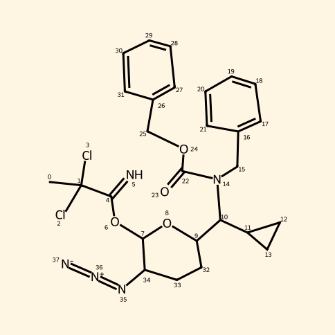 CC(Cl)(Cl)C(=N)OC1OC(C(C2CC2)N(Cc2ccccc2)C(=O)OCc2ccccc2)CCC1N=[N+]=[N-]